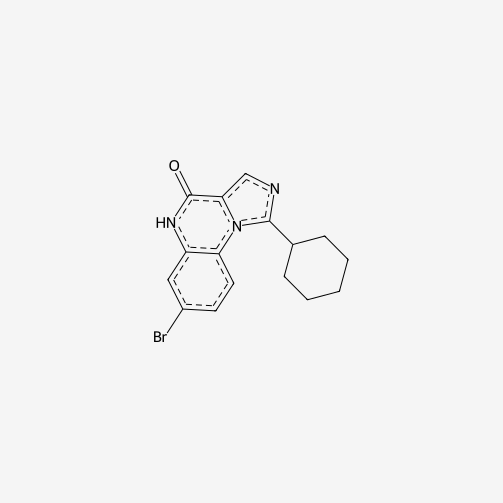 O=c1[nH]c2cc(Br)ccc2n2c(C3CCCCC3)ncc12